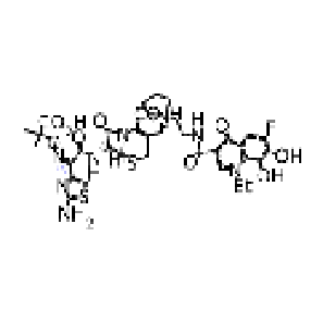 CCn1cc(C(=O)NCC[N+]2(CC3=C(C(=O)O)N4C(=O)[C@@H](NC(=O)/C(=N\OC(C)(C)C(=O)O)c5csc(N)n5)[C@H]4SC3)CCCC2)c(=O)c2cc(F)c(O)c(O)c21